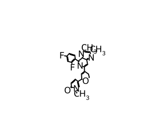 Cc1nc2cc(C3=CC(c4ccc(=O)n(C)c4)OCC3)nc(-c3ccc(F)cc3F)c2nc1C